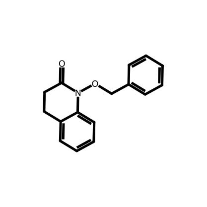 O=C1CCc2ccccc2N1OCc1ccccc1